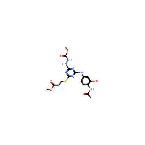 COC(=O)CCSc1nc(NNC(=O)OC)nc(Nc2ccc(NC(C)=O)c(O)c2)n1